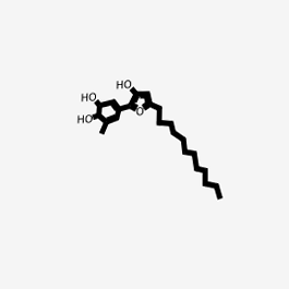 CCCCCCCCCCCCc1cc(O)c(C2=CC(O)C(O)C(C)=C2)o1